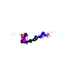 COC(=O)N[C@H](C(=O)N1CCC[C@H]1c1ncc(-c2ccc3cc(-c4ccc(-c5cnc([C@@H]6[C@@H]7CC[C@@H](C7)N6C(=O)[C@H](NC(=O)OC)c6ccccc6)[nH]5)cc4)ccc3c2)[nH]1)C(C)C